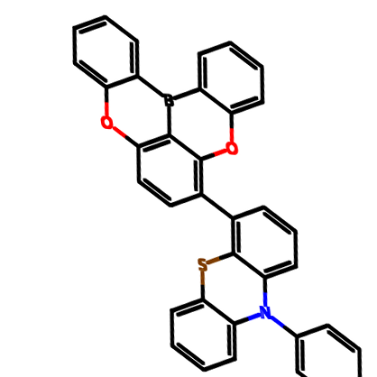 c1ccc(N2c3ccccc3Sc3c(-c4ccc5c6c4Oc4ccccc4B6c4ccccc4O5)cccc32)cc1